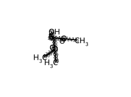 CCCCCCCCCOC(=O)CCCCCC1(CCCCCC(=O)OC(CCCCCCCC)CCCCCCCC)CCCN(CCO)C1